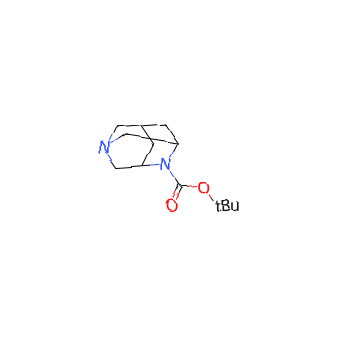 CC(C)(C)OC(=O)N1C2CC3CC1CN(C3)C2